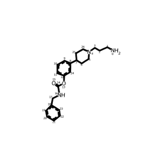 NCCCN1CCC(c2cccc(OC(=O)NCc3ccccc3)c2)CC1